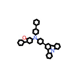 c1ccc(-c2ccc(N(c3ccc(-c4cc5c6ccccc6n6c7ccccc7c(c4)c56)cc3)c3ccc4c(c3)oc3ccccc34)cc2)cc1